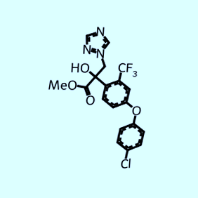 COC(=O)C(O)(Cn1cncn1)c1ccc(Oc2ccc(Cl)cc2)cc1C(F)(F)F